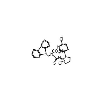 O=C(O)N(CC1c2ccccc2-c2ccccc21)C(=S)N=S1(=O)CCCC1c1ccc(Cl)nc1